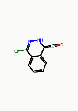 O=C=C1NN=C(Cl)c2ccccc21